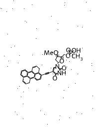 CO[C@@H]1CC(n2cc(C#Cc3ccc4c5c6c(cccc6c6c4c3CC=C6)C=CC5)c(=O)[nH]c2=O)O[C@@H]1COP(C)(=O)O